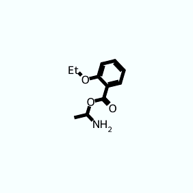 CCOc1ccccc1C(=O)OC(C)N